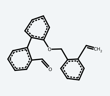 C=Cc1ccccc1COc1ccccc1-c1ccccc1C=O